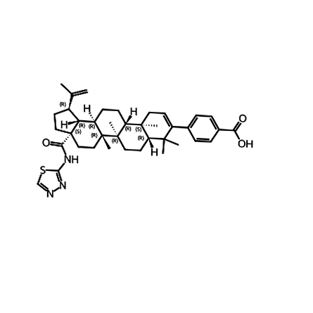 C=C(C)[C@@H]1CC[C@]2(C(=O)Nc3nncs3)CC[C@]3(C)[C@H](CC[C@@H]4[C@@]5(C)CC=C(c6ccc(C(=O)O)cc6)C(C)(C)[C@@H]5CC[C@]43C)[C@@H]12